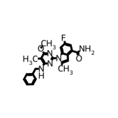 COc1nc(-n2c(C)cc3c(C(N)=O)cc(F)cc32)nc(NCc2ccccc2)c1C